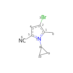 Cc1c(Br)cc(C#N)n1C1CC1